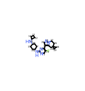 Fc1cnc(N[C@H]2CC[C@H](NC3CCC3)CC2)nc1-c1cnn2c1CC1(CC2)CC1